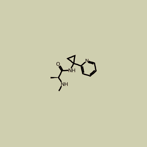 CN[C@@H](C)C(=O)NC1(c2ccccn2)CC1